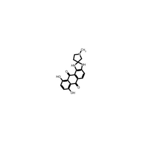 CN1CCC2(C1)Nc1ccc3c(c1N2)C(=O)c1c(O)ccc(O)c1C3=O